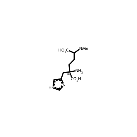 CNC(CC[C@](N)(Cc1c[nH]cn1)C(=O)O)C(=O)O